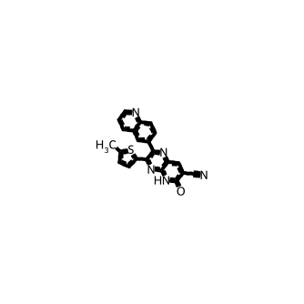 Cc1ccc(-c2nc3[nH]c(=O)c(C#N)cc3nc2-c2ccc3ncccc3c2)s1